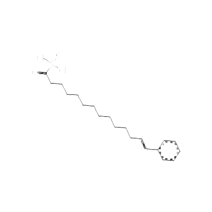 O=C(CCCCCCCCCCCC=Cc1ccccc1)[Si](Cl)(Cl)Cl